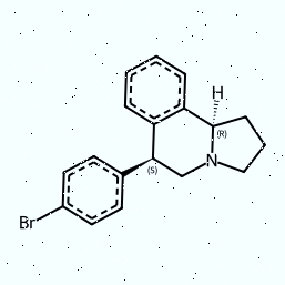 Brc1ccc([C@@H]2CN3CCC[C@@H]3c3ccccc32)cc1